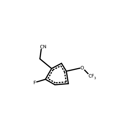 N#CCc1cc(OC(F)(F)F)ccc1F